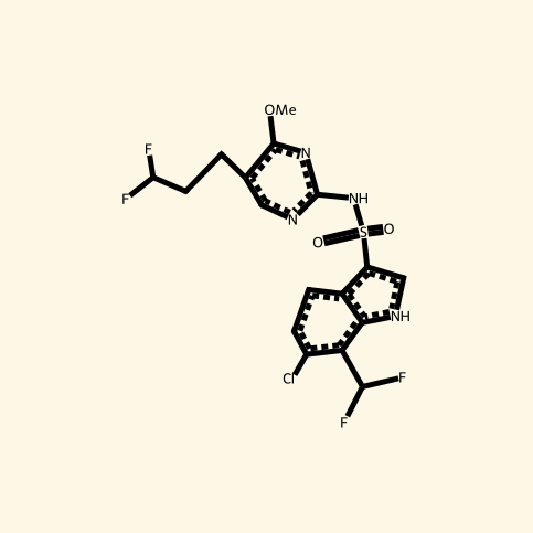 COc1nc(NS(=O)(=O)c2c[nH]c3c(C(F)F)c(Cl)ccc23)ncc1CCC(F)F